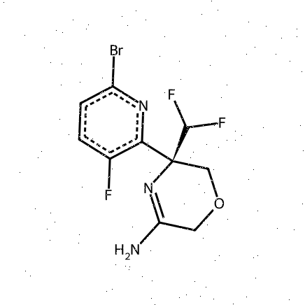 NC1=N[C@@](c2nc(Br)ccc2F)(C(F)F)COC1